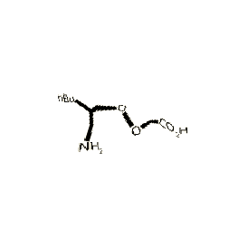 CCCCC(N)OOC(=O)O